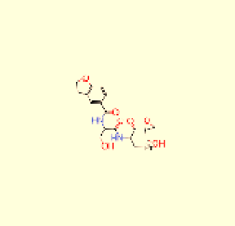 CC(C)CC(NC(=O)C(CO)NC(=O)c1ccc2c(c1)CCO2)C(=O)C1(CO)CO1